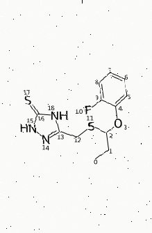 CCC(Oc1ccccc1F)SCc1n[nH]c(=S)[nH]1